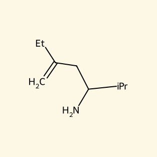 C=C(CC)CC(N)C(C)C